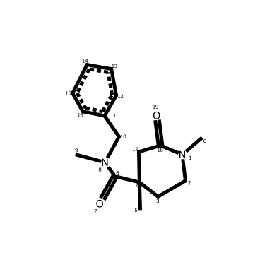 CN1CCC(C)(C(=O)N(C)Cc2ccccc2)CC1=O